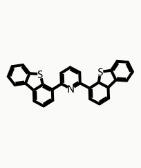 C1=CC2c3ccccc3SC2C(c2cccc(-c3cccc4c3sc3ccccc34)n2)=C1